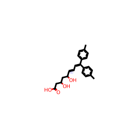 Cc1ccc(C(=C/C=C/C(O)CC(O)CC(=O)O)c2ccc(C)cc2)cc1